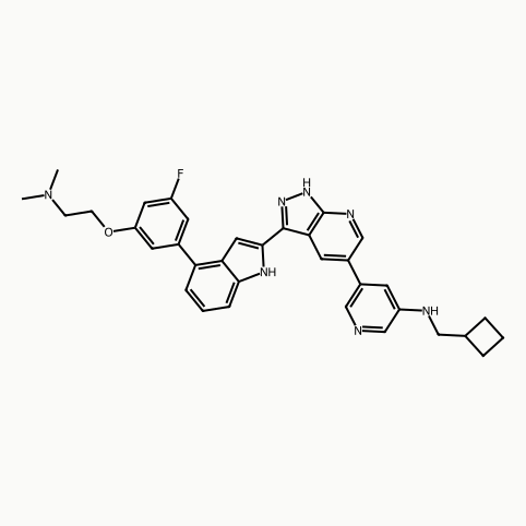 CN(C)CCOc1cc(F)cc(-c2cccc3[nH]c(-c4n[nH]c5ncc(-c6cncc(NCC7CCC7)c6)cc45)cc23)c1